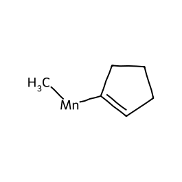 [CH3][Mn][C]1=CCCC1